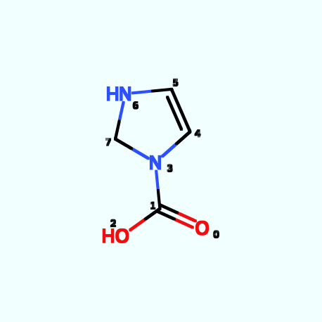 O=C(O)N1C=CNC1